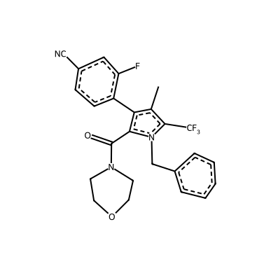 Cc1c(-c2ccc(C#N)cc2F)c(C(=O)N2CCOCC2)n(Cc2ccccc2)c1C(F)(F)F